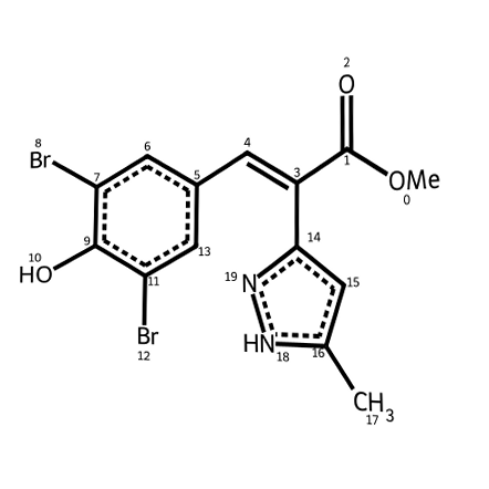 COC(=O)C(=Cc1cc(Br)c(O)c(Br)c1)c1cc(C)[nH]n1